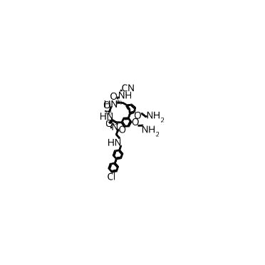 C[C@@H]1NC(=O)[C@@H](N(C)C(=O)CCNCc2ccc(-c3ccc(Cl)cc3)cc2)c2ccc(OCCN)c(c2)-c2cc(ccc2OCCN)C[C@@H](C(=O)NCC#N)NC1=O